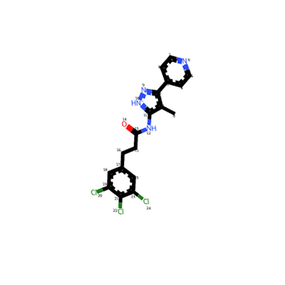 Cc1c(-c2ccncc2)n[nH]c1NC(=O)CCc1cc(Cl)c(Cl)c(Cl)c1